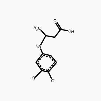 CC(CC(=O)O)Nc1ccc(Cl)c(Cl)c1